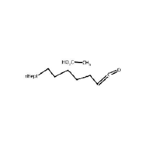 CC(=O)O.CCCCCCCCCCCCC=C=O